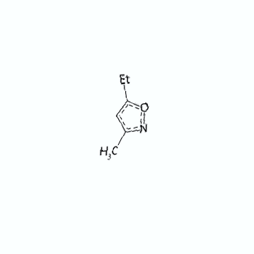 CCc1cc(C)no1